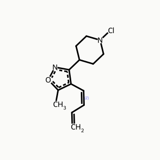 C=C/C=C\c1c(C2CCN(Cl)CC2)noc1C